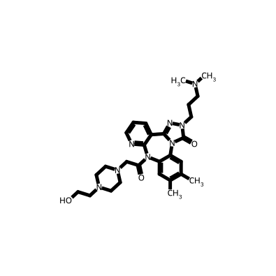 Cc1cc2c(cc1C)-n1c(nn(CCCN(C)C)c1=O)-c1cccnc1N2C(=O)CN1CCN(CCO)CC1